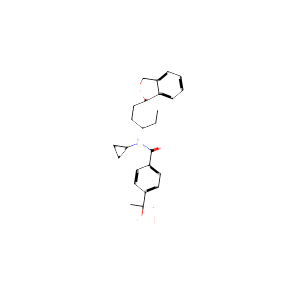 C[C@](O)(c1ccc(C(=O)N(C2CC2)[C@H]2CC[C@]3(CC2)OCc2ccccc23)cc1)C(F)(F)F